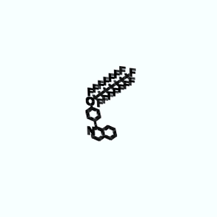 FC(F)(F)C(F)(F)C(F)(F)C(F)(F)C(F)(F)C(F)(F)C(F)(F)Oc1ccc(-c2nccc3ccccc23)cc1